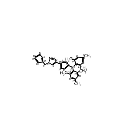 Cc1cc(C)c(B(c2ccc(-c3cn(Cc4ccccc4)nn3)cc2)c2c(C)cc(C)cc2C)c(C)c1